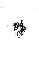 COC(=O)c1sc2ncnc(Nc3ccc(F)cc3OC3CCCN(S(C)(=O)=O)C3)c2c1C